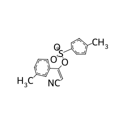 Cc1ccc(S(=O)(=O)OC(=CC#N)c2cccc(C)c2)cc1